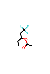 CCC(CC(F)(F)F)OC(C)=O